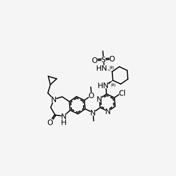 COc1cc2c(cc1N(C)c1ncc(Cl)c(N[C@@H]3CCCC[C@H]3NS(C)(=O)=O)n1)NC(=O)CN(CC1CC1)C2